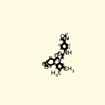 Cc1ccc(N(CC(=O)Nc2ccc(-c3cocn3)cc2)C(=O)C2CCS(=O)(=O)CC2)cc1C